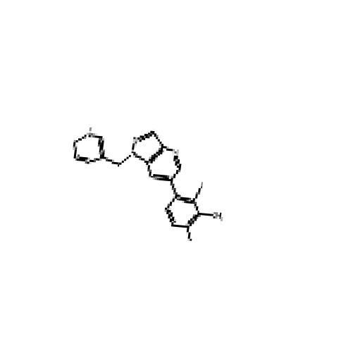 Cc1c(F)ccc(-c2cnc3cnn(CC4=CNCC=C4)c3c2)c1F